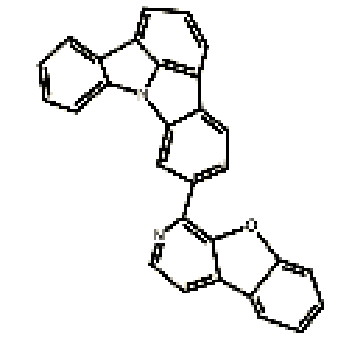 c1ccc2c(c1)oc1c(-c3ccc4c5cccc6c7ccccc7n(c4c3)c65)nccc12